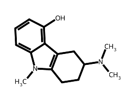 CN(C)C1CCc2c(c3c(O)cccc3n2C)C1